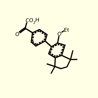 CCOc1cc2c(cc1-c1ccc(C(=O)C(=O)O)cc1)C(C)(C)CCC2(C)C